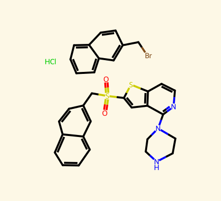 BrCc1ccc2ccccc2c1.Cl.O=S(=O)(Cc1ccc2ccccc2c1)c1cc2c(N3CCNCC3)nccc2s1